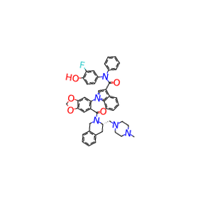 CN1CCN(C[C@@H]2Cc3ccccc3CN2C(=O)c2cc3c(cc2-n2cc(C(=O)N(c4ccccc4)c4ccc(O)c(F)c4)c4ccccc42)OCO3)CC1